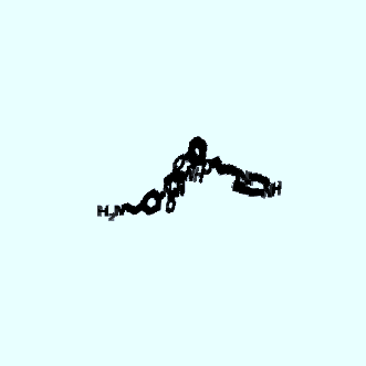 NCCC1CCC(n2cc3c(nc2=O)Nc2c(OCCCN4CCNCC4)cccc2O3)CC1